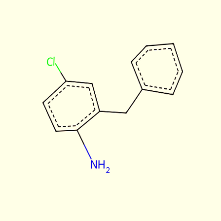 Nc1ccc(Cl)cc1Cc1ccccc1